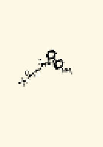 CC(C)(C)OC(=O)NCCC(=O)Nc1ccccc1-c1ccc(N)cc1